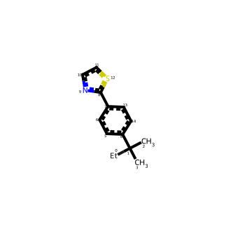 CCC(C)(C)c1ccc(-c2nccs2)cc1